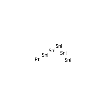 [Pt].[Sn].[Sn].[Sn].[Sn].[Sn]